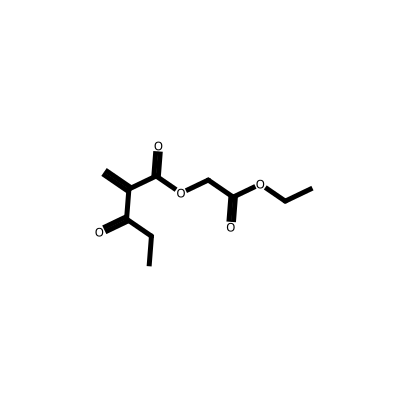 C=C(C(=O)CC)C(=O)OCC(=O)OCC